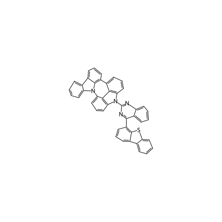 c1ccc2c(-c3cccc4c3sc3ccccc34)nc(-n3c4cccc5c6cccc7c8ccccc8n(c8cccc3c8c54)c67)nc2c1